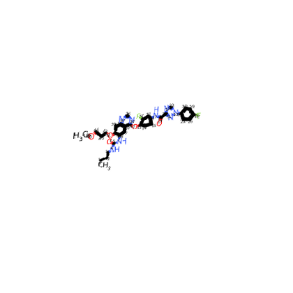 CCCCNC(=O)Nc1cc2c(Oc3ccc(NC(=O)c4ncn(-c5ccc(F)cc5)n4)cc3F)ncnc2cc1OCCCOC